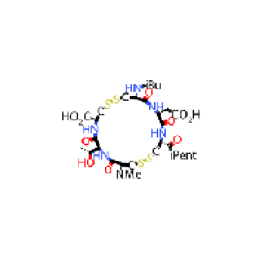 CCCC(C)C(=O)[C@@H]1CSSC[C@H](NC)C(=O)NC([C@@H](C)O)C(=O)N[C@H](C(=O)O)CSSC[C@H](NC(C)CC)C(=O)N[C@@H](CC(=O)O)C(=O)N1